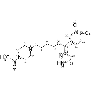 CC(=O)N1CCN(CCCCOC(c2ccc(Cl)c(Cl)c2)c2cc[nH]n2)CC1